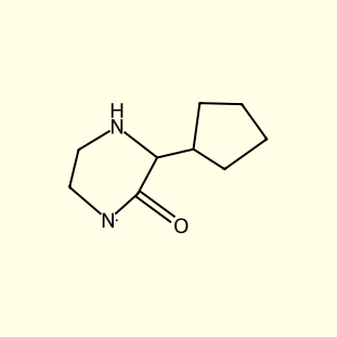 O=C1[N]CCNC1C1CCCC1